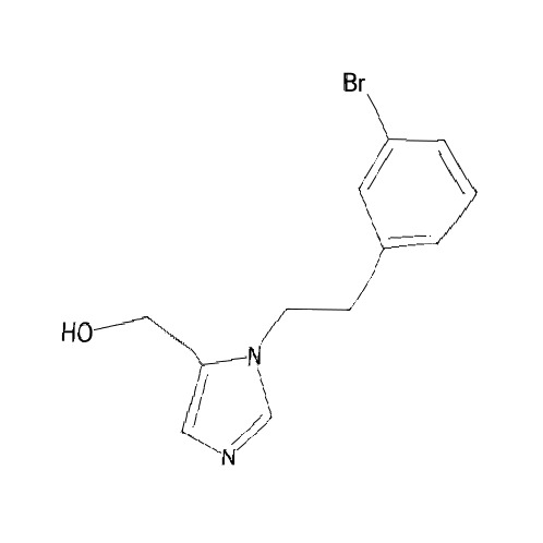 OCc1cncn1CCc1cccc(Br)c1